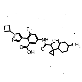 CC1CCC(C2(C(C)C(=O)Nc3cc(F)c(-c4cnn(C5CCC5)c4)c(C(=O)O)c3)CC2)CC1